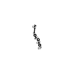 C=C(C)C(=O)OCCCCOc1ccc(C(=O)OC2=CC=C(OC(=O)c3ccc(OCC)cc3)CC2)cc1